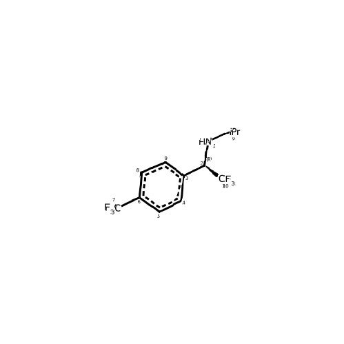 CC(C)N[C@H](c1ccc(C(F)(F)F)cc1)C(F)(F)F